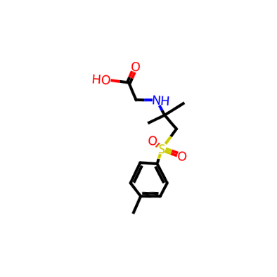 Cc1ccc(S(=O)(=O)CC(C)(C)NCC(=O)O)cc1